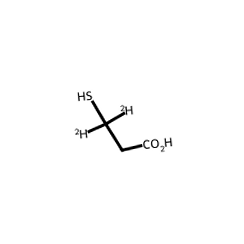 [2H]C([2H])(S)CC(=O)O